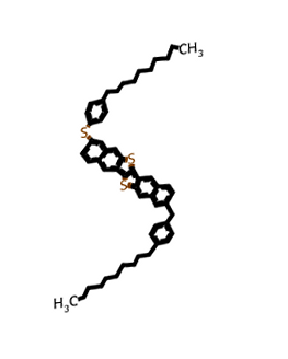 CCCCCCCCCCc1ccc(Cc2ccc3cc4c(cc3c2)sc2c3cc5ccc(Sc6ccc(CCCCCCCCCC)cc6)cc5cc3sc42)cc1